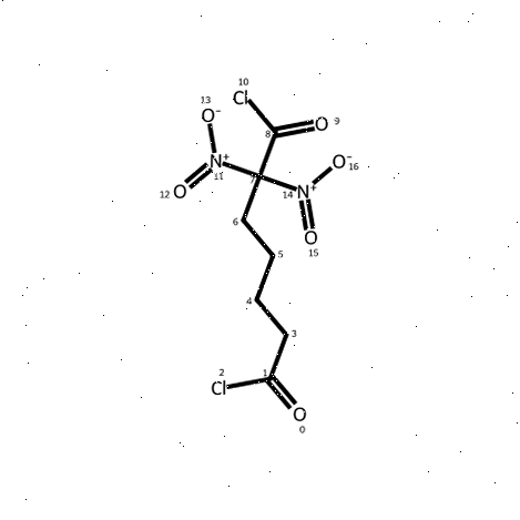 O=C(Cl)CCCCC(C(=O)Cl)([N+](=O)[O-])[N+](=O)[O-]